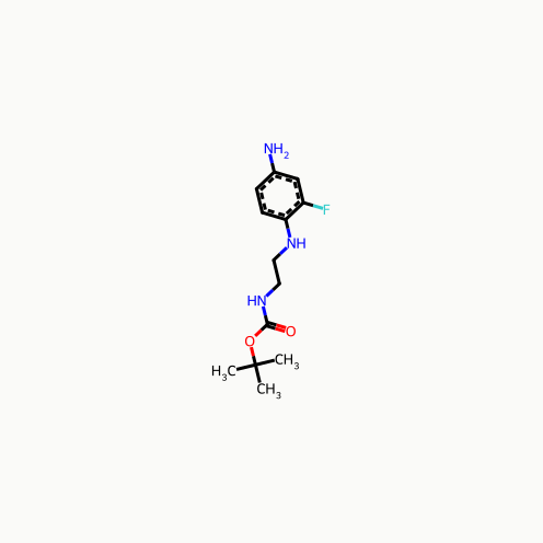 CC(C)(C)OC(=O)NCCNc1ccc(N)cc1F